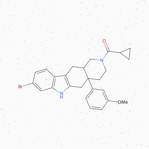 COc1cccc(C23CCN(C(=O)C4CC4)CC2Cc2c([nH]c4cc(Br)ccc24)C3)c1